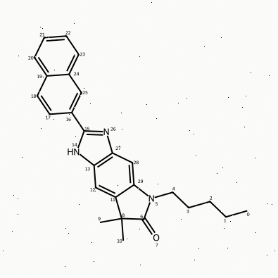 CCCCCN1C(=O)C(C)(C)c2cc3[nH]c(-c4ccc5ccccc5c4)nc3cc21